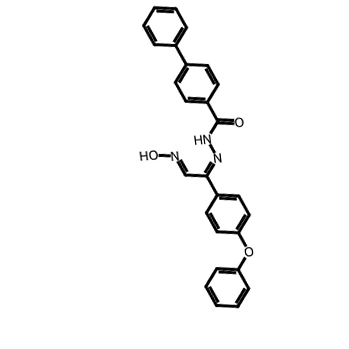 O=C(N/N=C(\C=N\O)c1ccc(Oc2ccccc2)cc1)c1ccc(-c2ccccc2)cc1